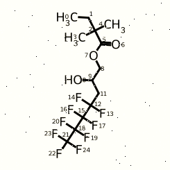 CCC(C)(C)C(=O)OCC(O)CC(F)(F)C(F)(F)C(F)(F)C(F)(F)F